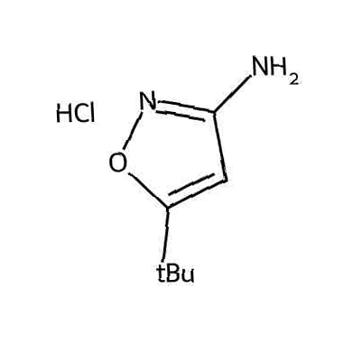 CC(C)(C)c1cc(N)no1.Cl